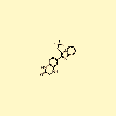 CC(C)(C)Nc1c(-c2ccc3c(c2)NCC(=O)N3)nc2ccccn12